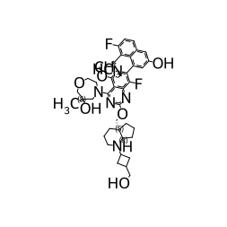 C#Cc1c(F)ccc2cc(O)cc(-c3nc(OC)c4c(N5CCOC[C@@](C)(O)C5)nc(OC[C@]56CCC[C@H]5N(C5CC(CO)C5)CCC6)nc4c3F)c12